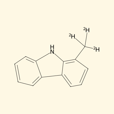 [2H]C([2H])([2H])c1cccc2c1[nH]c1ccccc12